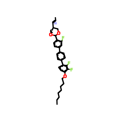 C/C=C/C1COC(c2ccc(-c3ccc(-c4ccc(OCCCCCCCC)c(F)c4F)cc3)cc2F)OC1